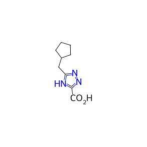 O=C(O)c1nnc(CC2CCCC2)[nH]1